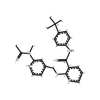 CC(=O)N(C)c1cc(CSc2ncccc2C(=O)Nc2ccc(C(C)(C)C)cc2)ccn1